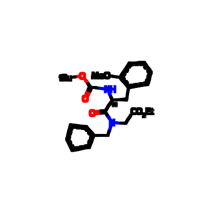 CCOC(=O)CN(Cc1ccccc1)C(=O)[C@H](Cc1ccccc1OC)NC(=O)OC(C)(C)C